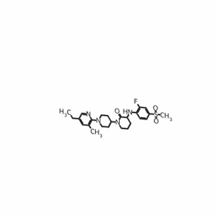 CCc1cnc(N2CCC(N3CCCC(Nc4ccc(S(C)(=O)=O)cc4F)C3=O)CC2)c(C)c1